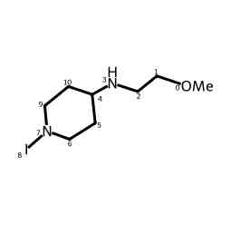 COCCNC1CCN(I)CC1